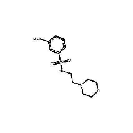 COc1cccc(S(=O)(=O)NCCN2CCOCC2)c1